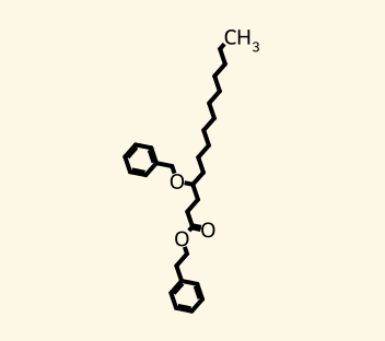 CCCCCCCCCCCC(CCC(=O)OCCc1ccccc1)OCc1ccccc1